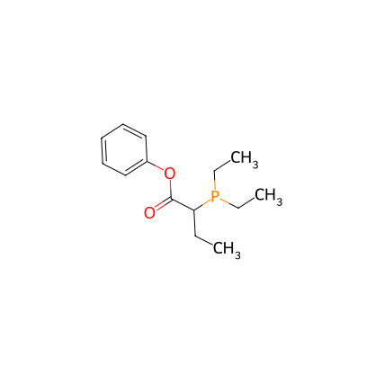 CCC(C(=O)Oc1ccccc1)P(CC)CC